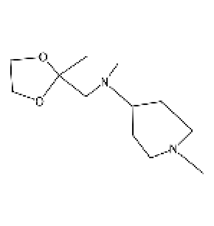 CN1CCC(N(C)CC2(C)OCCO2)CC1